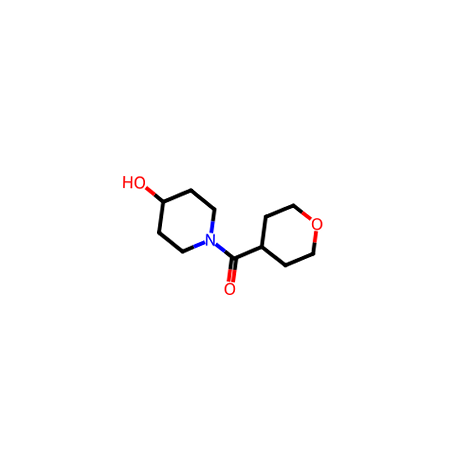 O=C(C1CCOCC1)N1CCC(O)CC1